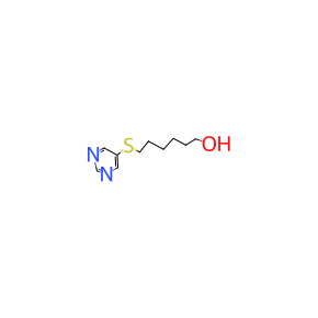 OCCCCCCSc1cncnc1